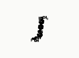 CNc1ccc(-c2ccc(-c3cn4cc(NCC(O)CF)ccc4n3)cc2)cn1